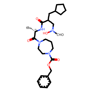 CC(C)(C)[C@H](NC(=O)C(CC1CCCC1)CN(O)C=O)C(=O)N1CCCN(C(=O)OCc2ccccc2)CC1